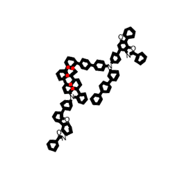 c1ccc(-c2ccc(-c3cccc(N(c4ccc(-c5ccc(-c6cccc(-c7cccc(-c8ccc(N(c9ccc(-c%10cccc%11c%10oc%10ccc%12nc(-c%13ccccc%13)oc%12c%10%11)cc9)c9ccccc9-c9ccc(-c%10ccccc%10)cc9)cc8)c7)c6)cc5)cc4)c4ccc(-c5cc6oc7ccccc7c6c6oc(-c7ccccc7)nc56)cc4)c3)cc2)cc1